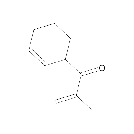 C=C(C)C(=O)C1C=CCCC1